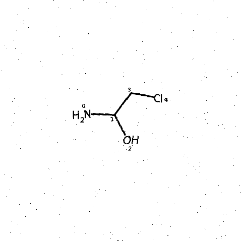 NC(O)CCl